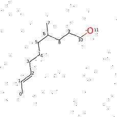 CC=CCCCC(C)CCC[O]